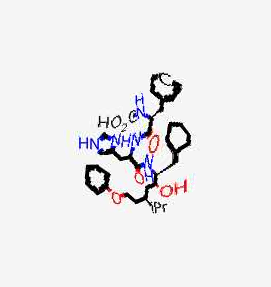 CC(C)[C@@H](CCOc1ccccc1)C[C@H](O)[C@H](CC1CCCCC1)NC(=O)C(Cc1c[nH]cn1)NC(=O)[C@H](Cc1ccccc1)NC(=O)O